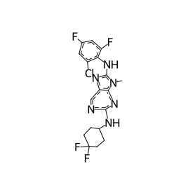 Cn1c(Nc2c(F)cc(F)cc2Cl)nc2cnc(NC3CCC(F)(F)CC3)nc21